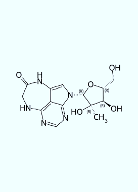 C[C@@]1(O)[C@H](O)[C@@H](CO)O[C@H]1n1cc2c3c(ncnc31)NCC(=O)N2